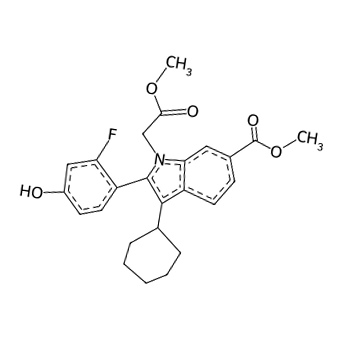 COC(=O)Cn1c(-c2ccc(O)cc2F)c(C2CCCCC2)c2ccc(C(=O)OC)cc21